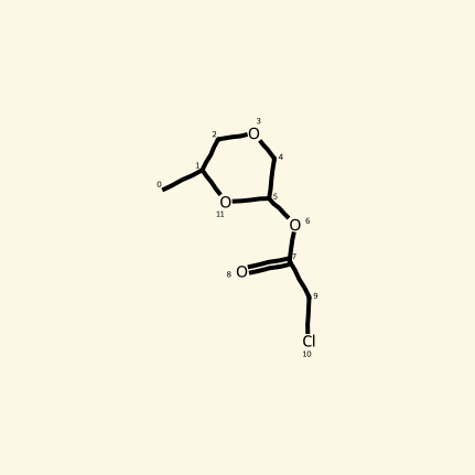 CC1COCC(OC(=O)CCl)O1